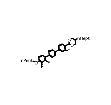 CCCCCCCC1COC(c2ccc(-c3ccc(-c4ccc(OCCCCC)c(F)c4F)cc3)cc2F)OC1